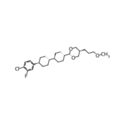 COCCC[C@H]1CO[C@H]([C@H]2CC[C@H]([C@H]3CC[C@H](c4ccc(Cl)c(F)c4)CC3)CC2)OC1